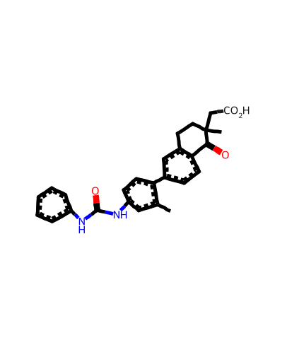 Cc1cc(NC(=O)Nc2ccccc2)ccc1-c1ccc2c(c1)CCC(C)(CC(=O)O)C2=O